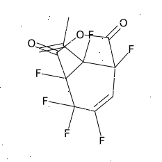 C=C(C)C1(F)C2(F)C=C(F)C(F)(F)C1(F)C(=O)OC2=O